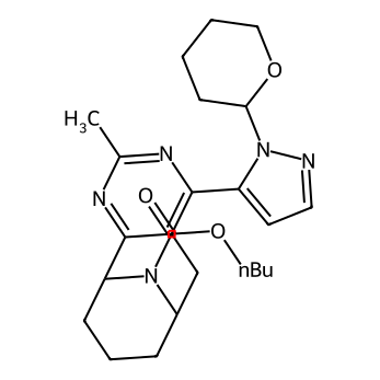 CCCCOC(=O)N1C2CCCC1c1nc(C)nc(-c3ccnn3C3CCCCO3)c1C2